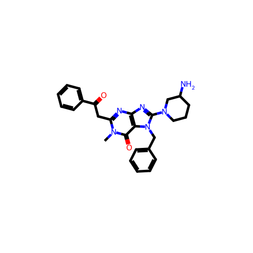 Cn1c(CC(=O)c2ccccc2)nc2nc(N3CCCC(N)C3)n(Cc3ccccc3)c2c1=O